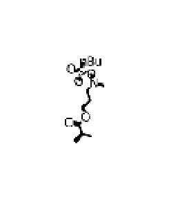 C=C(C)C(=O)OCCCN(C)OS(=O)(=O)CCCC